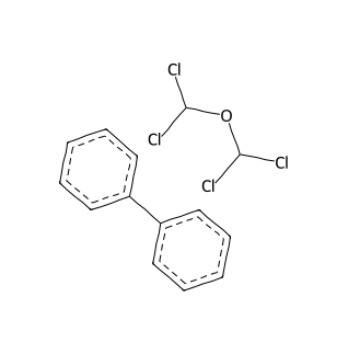 ClC(Cl)OC(Cl)Cl.c1ccc(-c2ccccc2)cc1